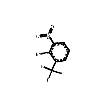 O=[SH](=O)c1cccc(C(F)(F)F)c1Br